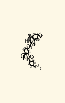 NC1CCC(NC(=O)c2cc(OCc3nc4cnccc4c(=O)[nH]3)ccc2Cl)CC1